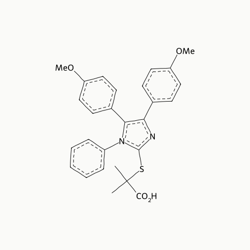 COc1ccc(-c2nc(SC(C)(C)C(=O)O)n(-c3ccccc3)c2-c2ccc(OC)cc2)cc1